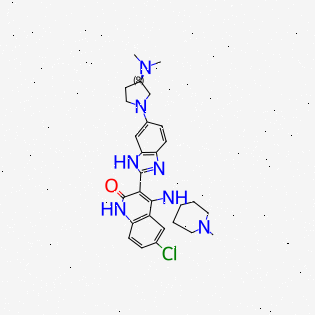 CN1CCC(Nc2c(-c3nc4ccc(N5CC[C@@H](N(C)C)C5)cc4[nH]3)c(=O)[nH]c3ccc(Cl)cc23)CC1